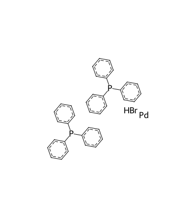 Br.[Pd].c1ccc(P(c2ccccc2)c2ccccc2)cc1.c1ccc(P(c2ccccc2)c2ccccc2)cc1